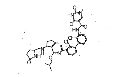 C=C(/N=C(/OCC(C)C)C1=C(C)CCC1NCC1CCC(=O)N1)c1cccc(-c2cccc(NC(=O)c3cn(C)c(=O)n(C)c3=O)c2Cl)c1Cl